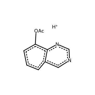 CC(=O)Oc1cccc2cncnc12.[H+]